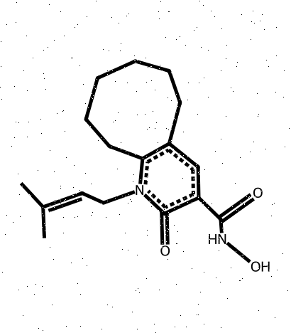 CC(C)=CCn1c2c(cc(C(=O)NO)c1=O)CCCCCC2